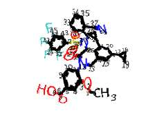 CCOc1cc(C(=O)O)ccc1N(Cc1cc(C2CC2)cc(C2CC2)c1)C(=O)CN(Cc1ccccc1C#N)S(=O)(=O)c1cc(F)c(F)c(F)c1F